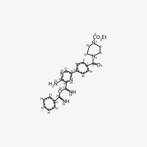 CCOC(=O)N1CCN(C(=O)c2ccc(-c3cnc(N)c(C(=N)OC(=N)c4ccccc4)n3)cc2)CC1